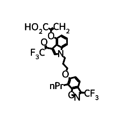 C=C(Oc1cccc2c1c(C(=O)C(F)(F)F)cn2CCCOc1ccc2c(C(F)(F)F)noc2c1CCC)C(=O)O